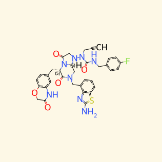 C#CCN(C(=O)NCc1ccc(F)cc1)N1CC(=O)N2[C@@H](Cc3ccc4c(c3)NC(=O)CO4)C(=O)N(Cc3cccc4sc(N)nc34)C[C@@H]21